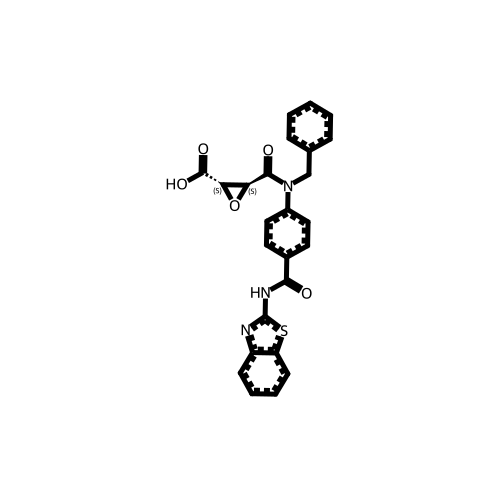 O=C(Nc1nc2ccccc2s1)c1ccc(N(Cc2ccccc2)C(=O)[C@H]2O[C@@H]2C(=O)O)cc1